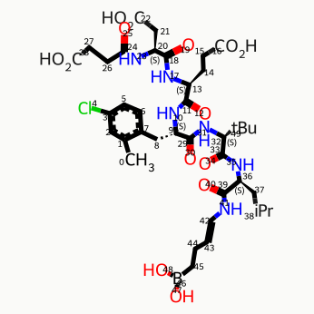 Cc1cc(Cl)ccc1C[C@H](NC(=O)[C@H](CCC(=O)O)NC(=O)[C@H](CC(=O)O)NC(=O)CCC(=O)O)C(=O)N[C@H](C(=O)N[C@@H](CC(C)C)C(=O)NC=CCCB(O)O)C(C)(C)C